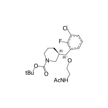 CC(=O)NCCO[C@@H](c1cccc(Cl)c1F)[C@@H]1CCCN(C(=O)OC(C)(C)C)C1